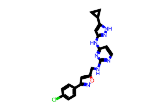 Clc1ccc(-c2cc(CNc3nccc(Nc4cc(C5CC5)[nH]n4)n3)on2)cc1